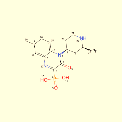 CCC[C@H]1C[C@@H](n2c(=O)c(P(=O)(O)O)nc3c2=CCC(C)C=3)CCN1